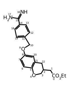 CCOC(=O)CC1COc2ccc(OCc3ccc(C(=N)N)cc3)cc2C1